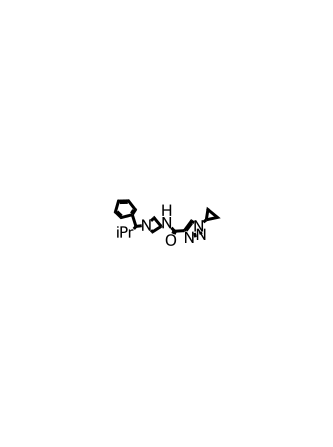 CC(C)C(c1ccccc1)N1CC(NC(=O)c2cn(C3CC3)nn2)C1